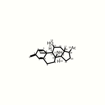 C=C1C=CC2(C)C(=C1)CCC1(N)[C@@H]2C(O)CC2(C)C(C(C)=O)CC[C@H]21